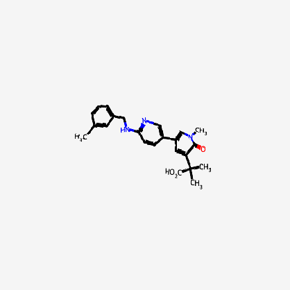 Cc1cccc(CNc2ccc(-c3cc(C(C)(C)C(=O)O)c(=O)n(C)c3)cn2)c1